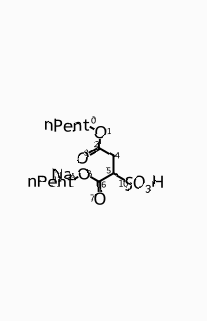 CCCCCOC(=O)CC(C(=O)OCCCCC)S(=O)(=O)O.[Na]